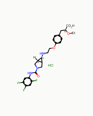 CCO[C@@H](Cc1ccc(OCCN[C@H]2C3CN(C(=O)Nc4cc(F)c(F)cc4F)C[C@@H]32)cc1)C(=O)O.Cl